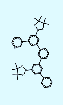 CC1(C)OB(c2cc(-c3cccnc3)cc(-c3cccc(-c4cc(B5OC(C)(C)C(C)(C)O5)cc(-c5cccnc5)c4)c3)c2)OC1(C)C